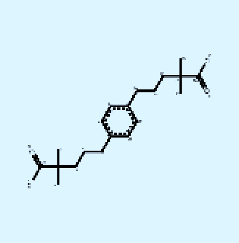 CC(C)(CCCc1ccc(CCCC(C)(C)C(=O)Cl)cc1)C(=O)Cl